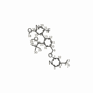 [CH2][C@@H](C)c1ccnc(OCc2ccc(-c3cc(OC)ncc3F)c([C@@H](OC)C(C)(C)C)c2)c1